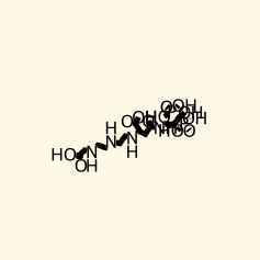 O=C(O)CNCCNCCNC(CC(=O)NCCC(O)(P(=O)(O)O)P(=O)(O)O)C(=O)O